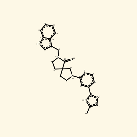 Cc1noc(-c2ccnc(N3CCC4(CCN(Cc5c[nH]c6ccccc56)C4=O)C3)c2)n1